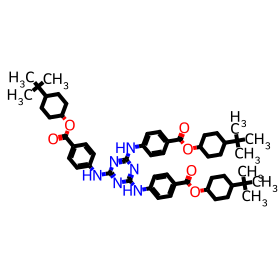 CC(C)(C)C1CCC(OC(=O)c2ccc(Nc3nc(Nc4ccc(C(=O)OC5CCC(C(C)(C)C)CC5)cc4)nc(Nc4ccc(C(=O)OC5CCC(C(C)(C)C)CC5)cc4)n3)cc2)CC1